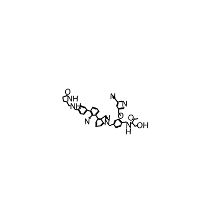 CC(=O)C(CO)NCc1ccc(Cn2ncc3c(-c4cccc(-c5ccc(CNCC6CCC(=O)N6)cc5)c4C#N)cccc32)cc1OCc1cncc(C#N)c1